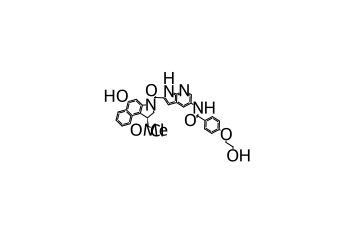 COc1cccc2c(O)cc3c(c12)[C@H](CCl)CN3C(=O)c1cc2cc(NC(=O)c3ccc(OCCO)cc3)cnc2[nH]1